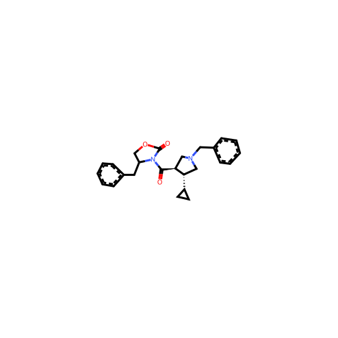 O=C1OCC(Cc2ccccc2)N1C(=O)[C@H]1CN(Cc2ccccc2)C[C@@H]1C1CC1